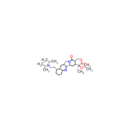 CC[C@@]1(OC(C)C)C(=O)OCc2c1cc1n(c2=O)Cc2cc3c(CCN(C(C)C)C(C)C)cccc3nc2-1